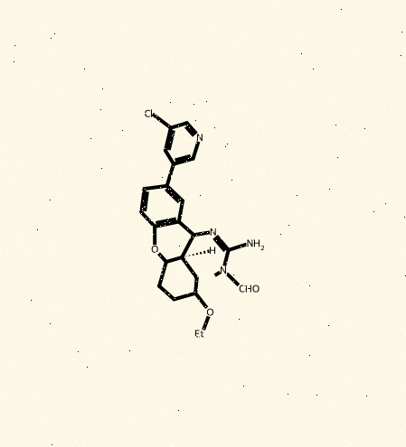 CCOC1CCC2Oc3ccc(-c4cncc(Cl)c4)cc3C(/N=C(/N)N(C)C=O)[C@H]2C1